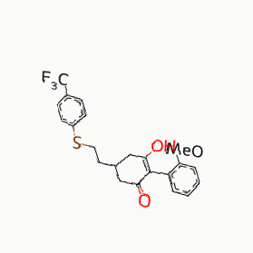 COc1ccccc1C1=C(O)CC(CCSc2ccc(C(F)(F)F)cc2)CC1=O